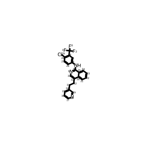 FC(F)(F)c1cc(Nc2ncc(CCc3cccnc3)c3ccccc23)ccc1Cl